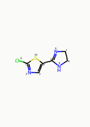 Clc1ncc(C2=NCCN2)s1